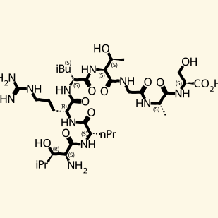 CCC[C@H](NC(=O)[C@@H](N)[C@H](O)C(C)C)C(=O)N[C@H](CCCNC(=N)N)C(=O)N[C@H](C(=O)N[C@H](C(=O)NCC(=O)N[C@@H](C)C(=O)N[C@@H](CO)C(=O)O)[C@H](C)O)[C@@H](C)CC